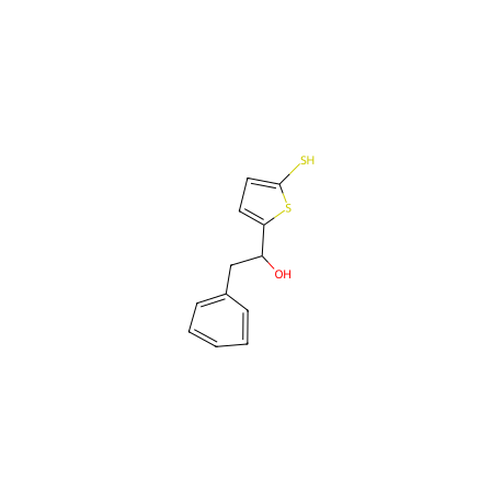 OC(Cc1ccccc1)c1ccc(S)s1